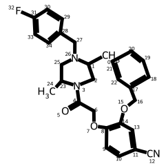 CC1CN(C(=O)COc2ccc(C#N)cc2OCc2ccccc2)C(C)CN1Cc1ccc(F)cc1